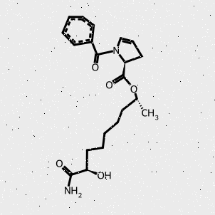 C[C@H](CCCCC[C@@H](O)C(N)=O)OC(=O)[C@@H]1CC=CN1C(=O)c1ccccc1